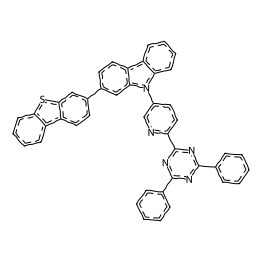 c1ccc(-c2nc(-c3ccccc3)nc(-c3ccc(-n4c5ccccc5c5ccc(-c6ccc7c(c6)sc6ccccc67)cc54)cn3)n2)cc1